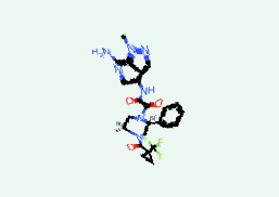 C[C@@H]1CN(C(=O)C(=O)Nc2cnc(N)c3c2cnn3C)[C@@H](c2ccccc2)CN1C(=O)C1(C(F)(F)F)CC1